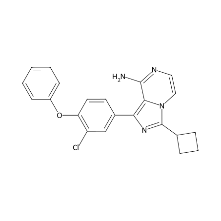 Nc1nccn2c(C3CCC3)nc(-c3ccc(Oc4ccccc4)c(Cl)c3)c12